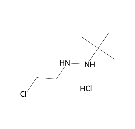 CC(C)(C)NNCCCl.Cl